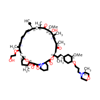 C#C[C@@H]1/C=C/C=C/C=C(\C)C(OCCO)C[C@@H]2CC[C@@H](C)[C@@](O)(O2)C(=O)C(=O)N2CCCCC2C(=O)O[C@H]([C@H](C)C[C@@H]2CC[C@@H](OCCCN3CCOC[C@H]3C)[C@H](OC)C2)CC(=O)[C@H](C)/C=C(\C)[C@@H](O)[C@@H](OC)C(=O)[C@H](C)C1